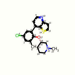 Cc1cc(Cl)cc(-c2ccnc3ccsc23)c1O[C@H]1CCCN(C)C1